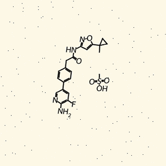 CC1(c2cc(NC(=O)Cc3ccc(-c4cnc(N)c(F)c4)cc3)no2)CC1.CS(=O)(=O)O